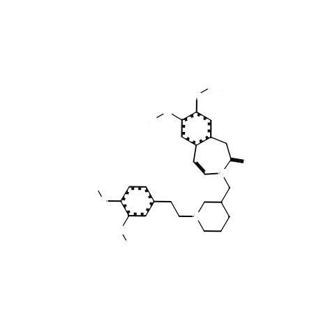 COc1ccc(CCN2CCCC(CN3C=Cc4cc(OC)c(OC)cc4CC3=O)C2)cc1OC